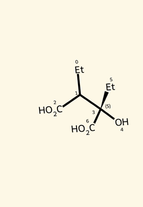 CCC(C(=O)O)[C@@](O)(CC)C(=O)O